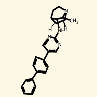 C[C@@H]1[C@@H](Nc2ncc(-c3ccc(-c4ccccc4)cc3)cn2)C2CCN1CC2